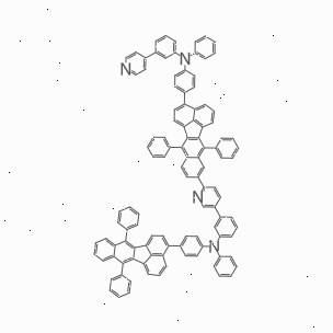 c1ccc(-c2c3c(c(-c4ccccc4)c4ccccc24)-c2ccc(-c4ccc(N(c5ccccc5)c5cccc(-c6ccc(-c7ccc8c(-c9ccccc9)c9c(c(-c%10ccccc%10)c8c7)-c7cccc8c(-c%10ccc(N(c%11ccccc%11)c%11cccc(-c%12ccncc%12)c%11)cc%10)ccc-9c78)nc6)c5)cc4)c4cccc-3c24)cc1